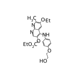 CCOC(=O)Oc1cnc2nc(C)c(OCC)cc2c1Nc1ccc(OCCO)cc1